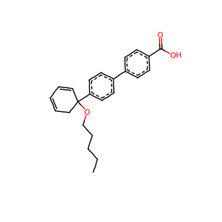 CCCCCOC1(c2ccc(-c3ccc(C(=O)O)cc3)cc2)C=CC=CC1